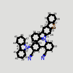 N#Cc1cc(-c2c(C#N)cccc2-n2c3ccccc3c3cc4c(cc32)sc2ccccc24)ccc1-n1c2ccccc2c2ccccc21